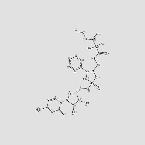 C=C1N=C(N)C=CN1[C@@H]1O[C@H](COP(=O)(NCc2ccccc2)OCCSC(=O)C(C)(C)C(=O)OCC)C(O)[C@H]1O